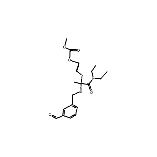 CCN(CC)C(=O)C(C)(SCCOC(=O)OC)SCc1cccc(C=O)c1